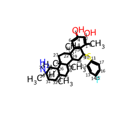 Cc1c(O)c(O)cc2c1C(Sc1ccc(F)cc1)CC1[C@@]2(C)CC[C@@]2(C)[C@@H]3C[C@](C)(N)CC[C@]3(C)CC[C@]12C